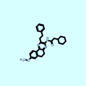 COc1ccc2c(c1)CCc1nc(NC(=O)CC3CCCCC3)c(CCc3ccccc3)nc1-2